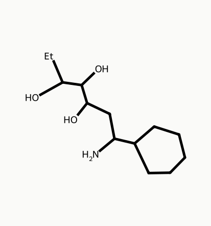 CCC(O)C(O)C(O)CC(N)C1CCCCC1